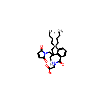 CCC[CH2][Sn]([CH2]CCC)([CH2]CCC)[c]1cccc(C(=O)NCC(=O)O)c1CCN1C(=O)C=CC1=O